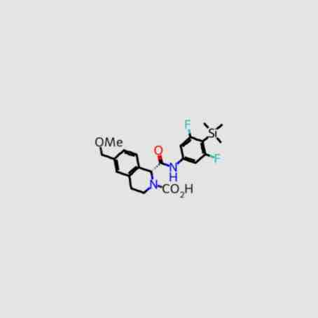 COCc1ccc2c(c1)CCN(C(=O)O)[C@H]2C(=O)Nc1cc(F)c([Si](C)(C)C)c(F)c1